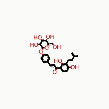 C=C(C)CCc1c(O)ccc(C(=O)/C=C/c2ccc(OC3O[C@H](CO)[C@@H](O)[C@H](O)[C@H]3O)cc2)c1O